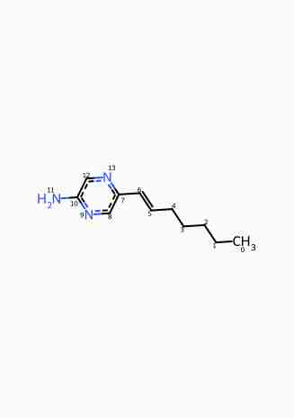 CCCCC/C=C/c1cnc(N)cn1